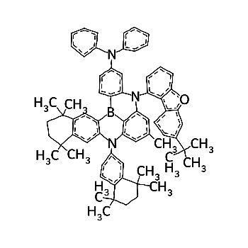 Cc1cc2c3c(c1)N(c1cccc4oc5cc(C(C)(C)C)ccc5c14)c1cc(N(c4ccccc4)c4ccccc4)ccc1B3c1cc3c(cc1N2c1ccc2c(c1)C(C)(C)CCC2(C)C)C(C)(C)CCC3(C)C